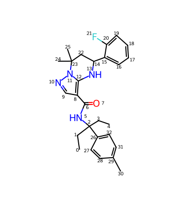 CCC(CC)(NC(=O)c1cnn2c1NC(c1ccccc1F)CC2(C)C)c1ccc(C)cc1